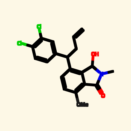 C=CCC(c1ccc(Cl)c(Cl)c1)c1ccc(OC)c2c1C(O)N(C)C2=O